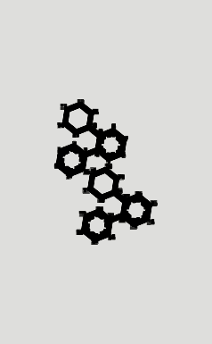 c1ccc(-c2ccccc2C2CCCCC2)cc1.c1ccc(-c2ccccc2C2CCCCC2)cc1